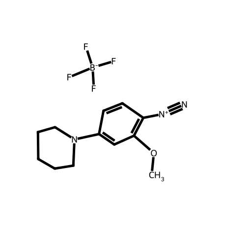 COc1cc(N2CCCCC2)ccc1[N+]#N.F[B-](F)(F)F